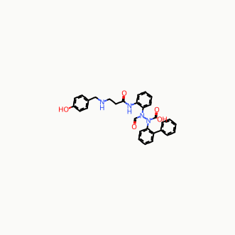 O=CN(c1ccccc1NC(=O)CCNCc1ccc(O)cc1)N(C(=O)O)c1ccccc1-c1ccccc1